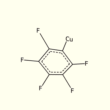 Fc1c(F)c(F)[c]([Cu])c(F)c1F